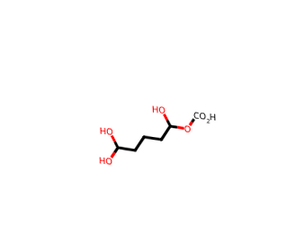 O=C(O)OC(O)CCCC(O)O